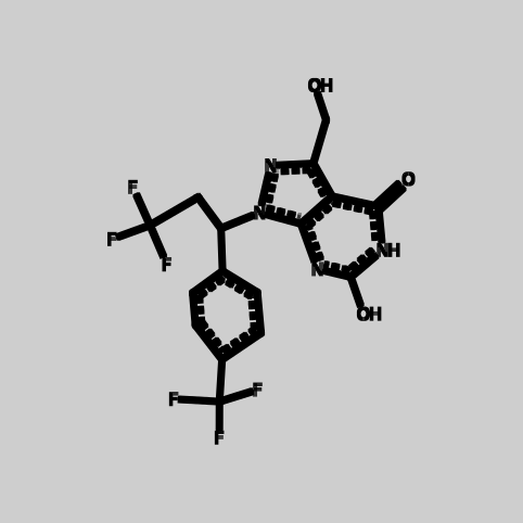 O=c1[nH]c(O)nc2c1c(CO)nn2C(CC(F)(F)F)c1ccc(C(F)(F)F)cc1